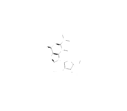 CO[C@@H]1[C@H](O)[C@@H](CO)O[C@H]1n1cnc2c(=O)nc(N(C)C)n(C)c21